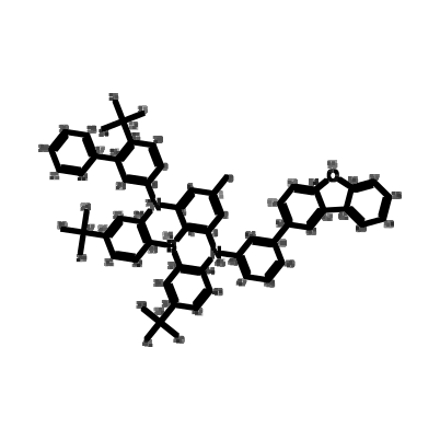 Cc1cc2c3c(c1)N(c1ccc(C(C)(C)C)c(-c4ccccc4)c1)c1cc(C(C)(C)C)ccc1B3c1cc(C(C)(C)C)ccc1N2c1cccc(-c2ccc3oc4ccccc4c3c2)c1